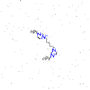 CCCn1cc[n+](CCCCCn2cc[n+](CCC)c2)c1